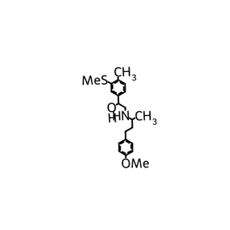 COc1ccc(CCC(C)NCC(O)c2ccc(C)c(SC)c2)cc1